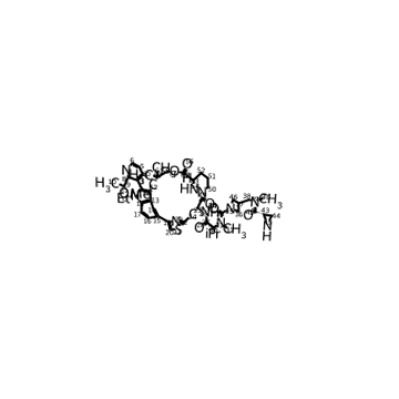 CCn1c(-c2cccnc2[C@H](C)OC)c2c3cc(ccc31)-c1csc(n1)C[C@H](NC(=O)[C@H](C(C)C)N(C)C(=O)N1CC(CN(C)C(=O)[C@@H]3CN3)C1)C(=O)N1CCC[C@H](N1)C(=O)OCC(C)(C)C2